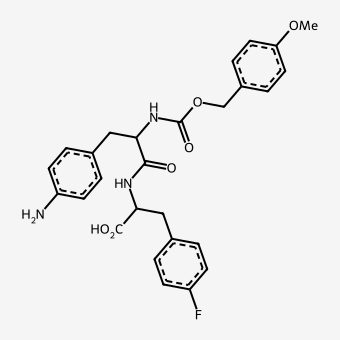 COc1ccc(COC(=O)NC(Cc2ccc(N)cc2)C(=O)NC(Cc2ccc(F)cc2)C(=O)O)cc1